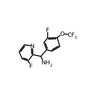 NC(c1ccc(OC(F)(F)F)c(F)c1)c1ncccc1F